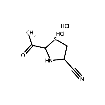 CC(=O)C1NC(C#N)CS1.Cl.Cl